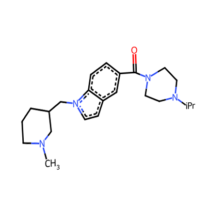 CC(C)N1CCN(C(=O)c2ccc3c(ccn3CC3CCCN(C)C3)c2)CC1